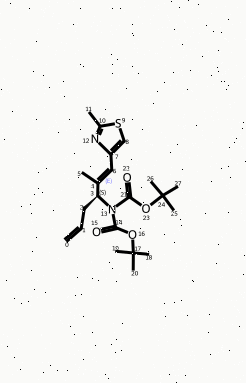 C=CC[C@@H](/C(C)=C/c1csc(C)n1)N(C(=O)OC(C)(C)C)C(=O)OC(C)(C)C